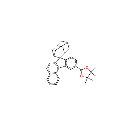 CC1(C)OB(c2ccc3c(c2)-c2c(ccc4ccccc24)C32C3CC4CC(C3)CC2C4)OC1(C)C